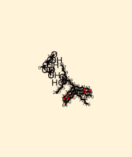 CC(=O)O.CC(=O)O.CC(=O)O.CC(=O)O.CCCCCCC(CCCCCC)(CCCC(CCCCCC)(CCCCCC)C(CCCCCC)(CCCCCC)C(CCCCCC)(CCCCCC)CCCCCC)C(=O)O